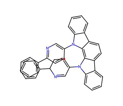 C1=NC(c2ccccc2)CC=C1n1c2ccccc2c2ccc3c4ccccc4n(-c4ccc(-c5ccccc5)nc4)c3c21